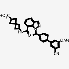 COc1cc(C#N)cc(-c2ccc(C(C)n3ncc4cccc(C(=O)NC5CC6(C5)CC(C(=O)O)C6)c43)cc2)c1